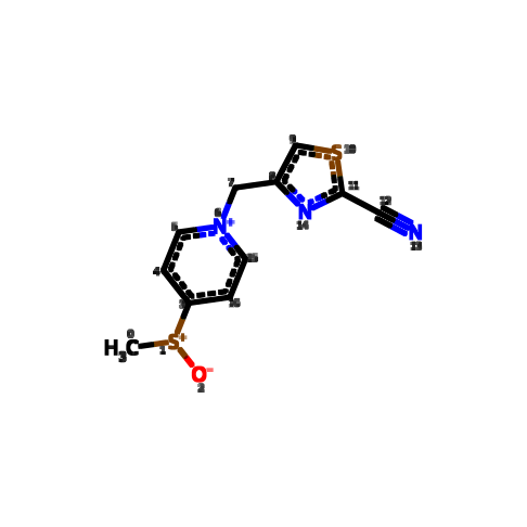 C[S+]([O-])c1cc[n+](Cc2csc(C#N)n2)cc1